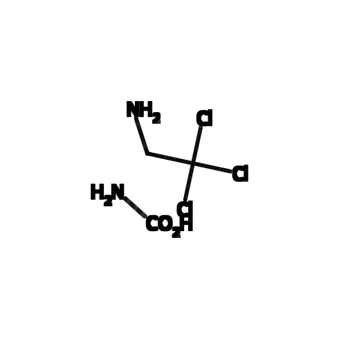 NC(=O)O.NCC(Cl)(Cl)Cl